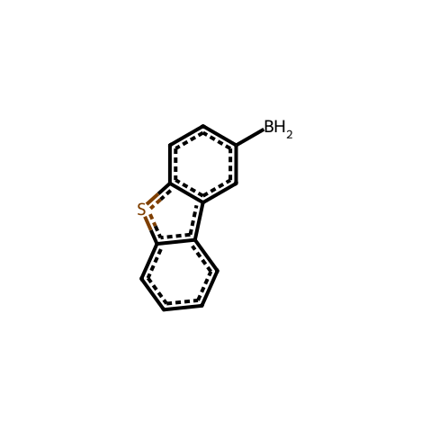 Bc1ccc2sc3ccccc3c2c1